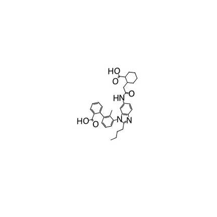 CCCCc1nc2ccc(NC(=O)CC3CCCCC3C(=O)O)cc2n1-c1cccc(-c2ccccc2C(=O)O)c1C